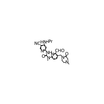 CC(C)Nc1cc(NC(=O)N(C)c2ccc(CN3CCN(C)CC3=O)c(C=O)n2)ncc1C#N